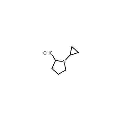 O=[C]C1CCCN1C1CC1